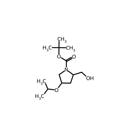 CC(C)OC1CC(CO)N(C(=O)OC(C)(C)C)C1